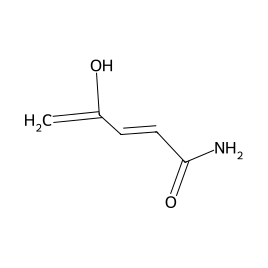 C=C(O)C=CC(N)=O